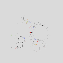 COc1ccc2c(O[C@@H]3C[C@H]4C(=O)N[C@]5(C(=O)NS(=O)(=O)C6(CF)CC6)C[C@H]5/C=C\CC[C@@H](C)C[C@@H](C)[C@H](N(C(=O)O)C5CCCOC5)C(=O)N4C3C(F)(F)F)ncc(C(F)(F)F)c2c1